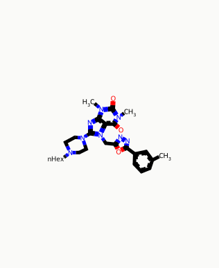 CCCCCCN1CCN(c2nc3c(c(=O)n(C)c(=O)n3C)n2Cc2nnc(-c3cccc(C)c3)o2)CC1